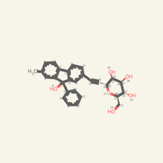 Cc1ccc2c(c1)C(O)(c1ccccc1)c1cc(C#C[C@H]3O[C@H](CO)[C@@H](O)[C@H](O)[C@@H]3O)ccc1-2